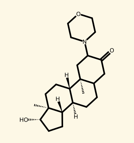 C[C@]12CC[C@H]3[C@@H](CCC4CC(=O)C(N5CCOCC5)C[C@@]43C)[C@@H]1CC[C@@H]2O